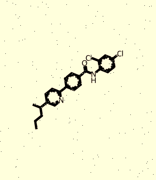 CCCC(C)c1ccc(-c2ccc(C(=O)Nc3ccc(Cl)cc3Cl)cc2)nc1